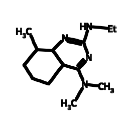 CCNC1=NC2C(C)CCCC2C(N(C)C)=N1